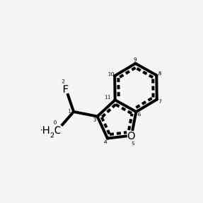 [CH2]C(F)c1coc2ccccc12